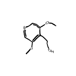 COc1cncc(OC)c1CO